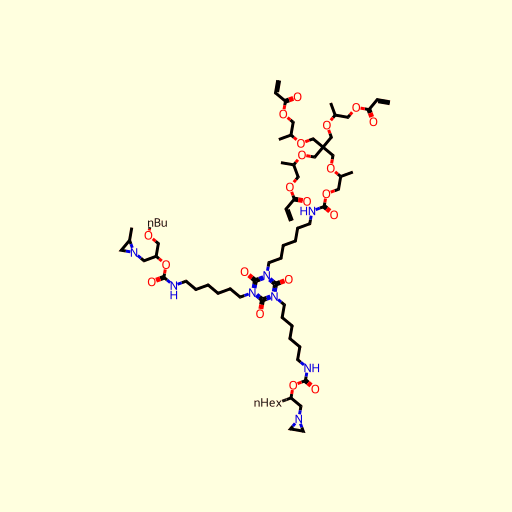 C=CC(=O)OCC(C)OCC(COC(C)COC(=O)C=C)(COC(C)COC(=O)C=C)COC(C)COC(=O)NCCCCCCn1c(=O)n(CCCCCCNC(=O)OC(CCCCCC)CN2CC2)c(=O)n(CCCCCCNC(=O)OC(COCCCC)CN2CC2C)c1=O